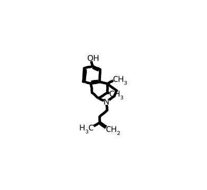 C=C(C)CCN1CCC2(C)c3cc(O)ccc3CC1C2C